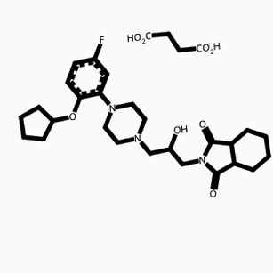 O=C(O)CCC(=O)O.O=C1C2CCCCC2C(=O)N1CC(O)CN1CCN(c2cc(F)ccc2OC2CCCC2)CC1